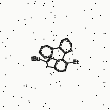 CCc1ccc2c(c1-c1ccccc1-c1ccccc1)C=C(C(C)(C)C)[CH]2